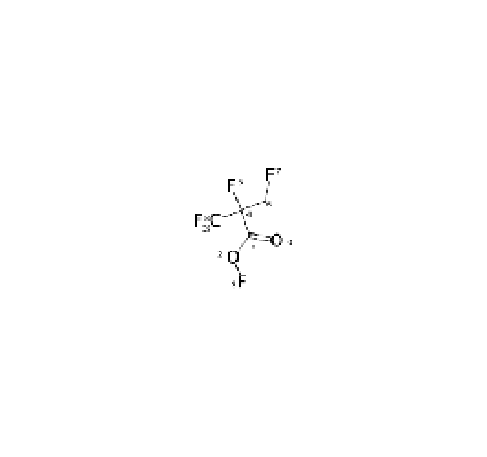 O=C(OF)C(F)(CF)C(F)(F)F